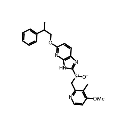 COc1ccnc(C[S+]([O-])c2nc3ccc(OCC(C)c4ccccc4)nc3[nH]2)c1C